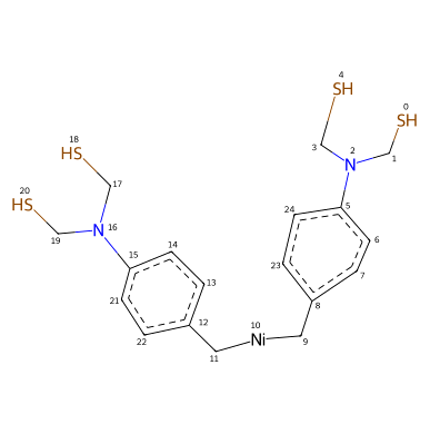 SCN(CS)c1ccc([CH2][Ni][CH2]c2ccc(N(CS)CS)cc2)cc1